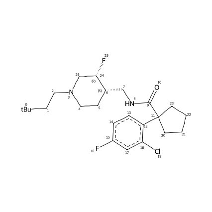 CC(C)(C)CCN1CC[C@@H](CNC(=O)C2(c3ccc(F)cc3Cl)CCCC2)[C@@H](F)C1